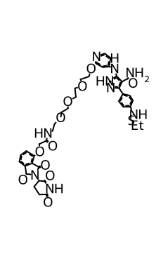 CCSNc1ccc(-c2n[nH]c(Nc3ccnc(OCCOCCOCCOCCNC(=O)COc4cccc5c4C(=O)N(C4CCC(=O)NC4=O)C5=O)c3)c2C(N)=O)cc1